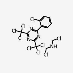 ClCNCCl.Clc1ccccc1-c1nc(C(Cl)(Cl)Cl)nc(C(Cl)(Cl)Cl)n1